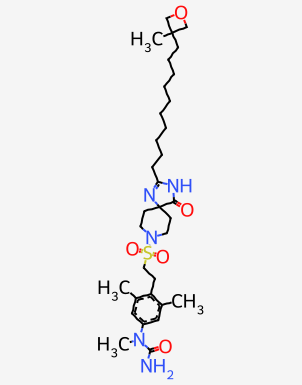 Cc1cc(N(C)C(N)=O)cc(C)c1CCS(=O)(=O)N1CCC2(CC1)N=C(CCCCCCCCCCC1(C)COC1)NC2=O